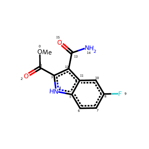 COC(=O)c1[nH]c2ccc(F)cc2c1C(N)=O